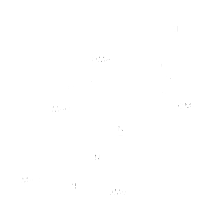 COC(=O)C1=C(C)NC(C(OC)c2cc(OC)nc(OC)n2)=C(C(=O)OC)C1c1cccc(Cl)c1Cl